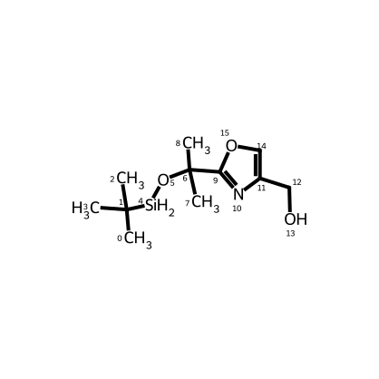 CC(C)(C)[SiH2]OC(C)(C)c1nc(CO)co1